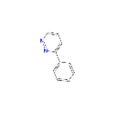 [c]1ccc(-c2cccnn2)cc1